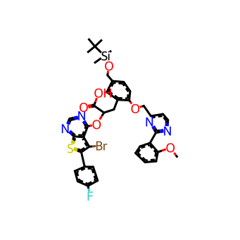 COc1ccccc1-c1nccc(COc2ccc(CO[Si](C)(C)C(C)(C)C)cc2CC(Oc2ncnc3sc(-c4ccc(F)cc4)c(Br)c23)C(=O)O)n1